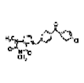 Cn1c(=O)c2c(ccn2Cc2ccc(C(=O)c3ccc(Cl)nc3)cc2)n(C)c1=O